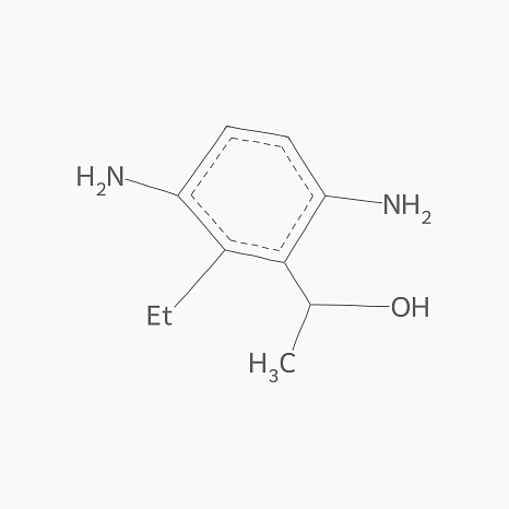 CCc1c(N)ccc(N)c1C(C)O